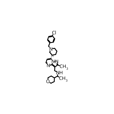 Cc1nn2c([C@H]3CCCN(Cc4ccc(Cl)cc4)C3)ccnc2c1CNC(C)C1CCOCC1